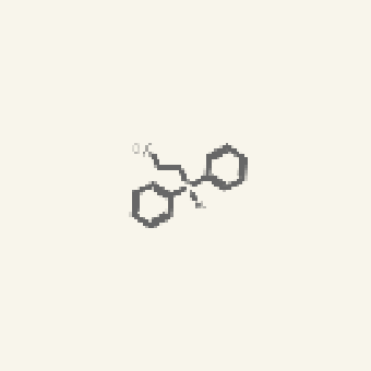 CC[PH](CCC(=O)O)(c1ccccc1)c1ccccc1